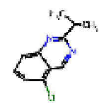 CC(C)c1ncc2c(Cl)cccc2n1